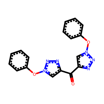 O=C(c1cn(Oc2ccccc2)nn1)c1cn(Oc2ccccc2)nn1